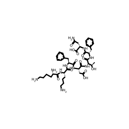 C[C@@H](O)[C@H](NC(=O)[C@H](CC(=O)O)NC(=O)[C@H](Cc1ccccc1)NC(=O)[C@H](CCCCN)NC(=O)[C@@H](N)CCCCN)C(=O)N[C@@H](Cc1ccccc1)C(=O)N[C@@H](CC(N)=O)C(=O)O